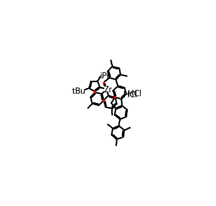 Cl.Cl.[CH2]=[Zr]([C]1=CC(C(C)(C)C)=CC1C(C)C)([c]1ccc(C)cc1)([c]1ccc(C)cc1)[c]1c(-c2c(C)cc(C)cc2C)ccc2c1Cc1cc(-c3c(C)cc(C)cc3C)ccc1-2